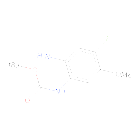 COc1cc(NC(=O)OC(C)(C)C)c(N)cc1F